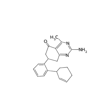 Cc1nc(N)nc2c1C(=O)CC(c1ccccc1C1C=CCCC1)C2